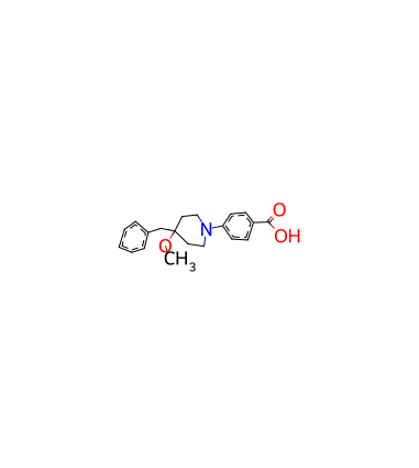 COC1(Cc2ccccc2)CCN(c2ccc(C(=O)O)cc2)CC1